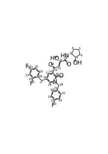 O=C(N[C@@H]1CCC[C@H]1O)/C(O)=C/C(=O)c1cc(Cc2ccc(F)cc2F)cn(Cc2ccc(F)cc2)c1=O